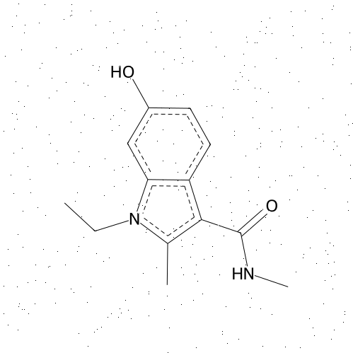 CCn1c(C)c(C(=O)NC)c2ccc(O)cc21